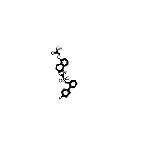 O=C(O)COc1cccc2c1CCc1sc(S(=O)(=O)Cc3ccccc3-c3ccc(F)cc3)nc1-2